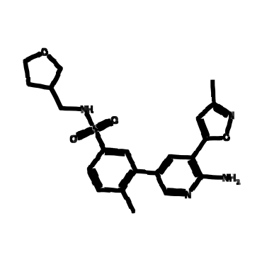 Cc1cc(-c2cc(-c3cc(S(=O)(=O)NCC4CCOC4)ccc3C)cnc2N)on1